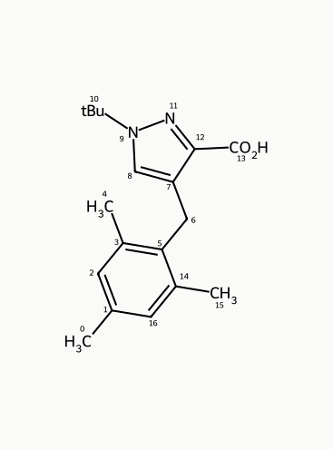 Cc1cc(C)c(Cc2cn(C(C)(C)C)nc2C(=O)O)c(C)c1